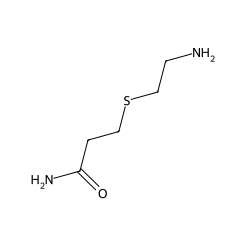 NCCSCCC(N)=O